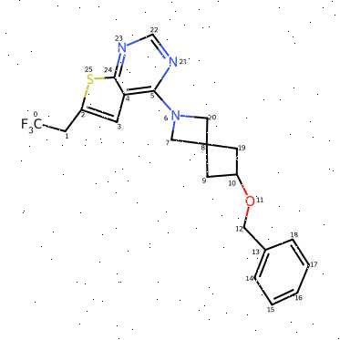 FC(F)(F)Cc1cc2c(N3CC4(CC(OCc5ccccc5)C4)C3)ncnc2s1